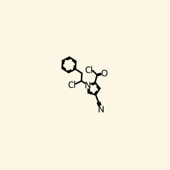 N#Cc1cc(C(=O)Cl)n(C(Cl)Cc2ccccc2)c1